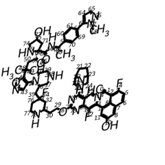 C#Cc1c(F)ccc2cc(O)cc(-c3ncc4c(N5CC6CCC(C5)N6)nc(OCCC5CC(F)(CC6CNCCN6c6cnoc6C(C)(C)CC(=O)[C@@]6(C(=O)N[C@@H](C)c7ccc(-c8ccnn8C)cc7)CC(O)CN6)CCN5)nc4c3F)c12